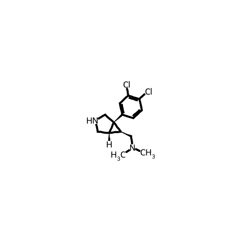 CN(C)C[C@H]1[C@@H]2CNC[C@@]21c1ccc(Cl)c(Cl)c1